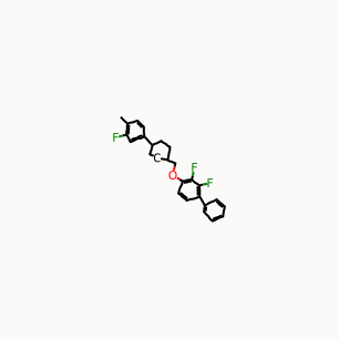 Cc1ccc(C2CCC(COc3ccc(-c4ccccc4)c(F)c3F)CC2)cc1F